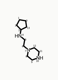 C1CCC(NCCN2CCNCC2)C1